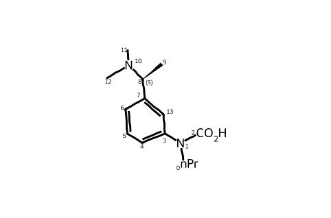 CCCN(C(=O)O)c1cccc([C@H](C)N(C)C)c1